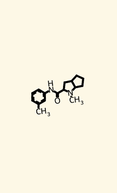 Cc1cccc(NC(=O)C2CC3CCCC3N2C)c1